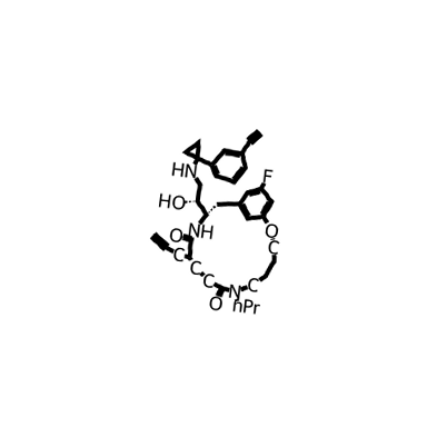 C#CCC1CCC(=O)N(CCC)CCCCOc2cc(F)cc(c2)C[C@@H]([C@H](O)CNC2(c3cccc(C#C)c3)CC2)NC1=O